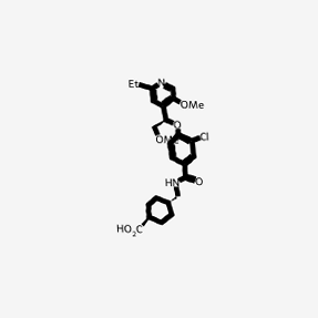 CCc1cc([C@H](COC)Oc2ccc(C(=O)NC[C@H]3CC[C@H](C(=O)O)CC3)cc2Cl)c(OC)cn1